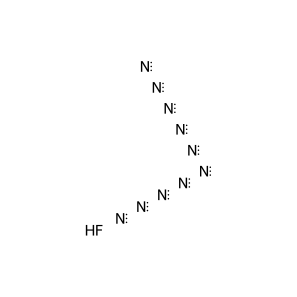 F.[N].[N].[N].[N].[N].[N].[N].[N].[N].[N]